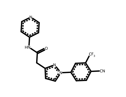 N#Cc1ccc(-n2ccc(CC(=O)Nc3ccncc3)n2)cc1C(F)(F)F